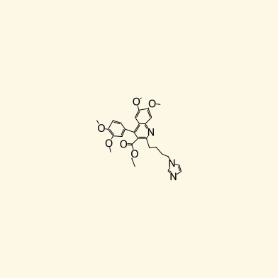 CCOC(=O)c1c(CCCCn2ccnc2)nc2cc(OC)c(OC)cc2c1-c1ccc(OC)c(OC)c1